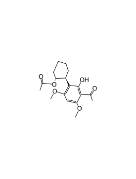 COc1cc(OC)c([C@@H]2CCCC[C@H]2OC(C)=O)c(O)c1C(C)=O